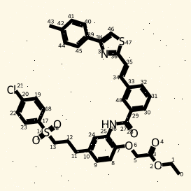 CCOC(=O)COc1ccc(CCCS(=O)(=O)c2ccc(Cl)cc2)cc1NC(=O)c1cccc(C=Cc2nc(-c3ccc(C)cc3)cs2)c1